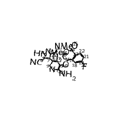 CNCc1n[nH]c(C#N)c1-c1cnc(N)c(O[C@H](C)c2cc(F)ccc2C(=O)OC)c1